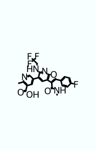 CNC(=O)c1c(-c2ccc(F)cc2)oc2nc(NCC(F)(F)F)c(-c3cnc(C)c(C(=O)O)c3)cc12